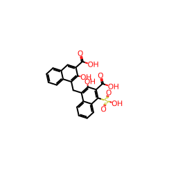 O=C(O)c1cc2ccccc2c(Cc2c(O)c(C(=O)O)c(S(=O)(=O)O)c3ccccc23)c1O